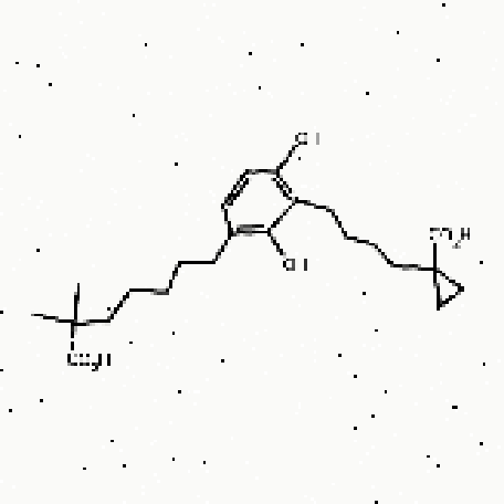 CC(C)(CCCCCc1ccc(O)c(CCCCC2(C(=O)O)CC2)c1O)C(=O)O